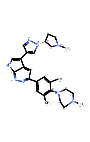 Cc1cc(-c2cc3c(-c4cnn([C@@H]5CCN(C)C5)c4)c[nH]c3nn2)cc(C)c1N1CCN(C)CC1